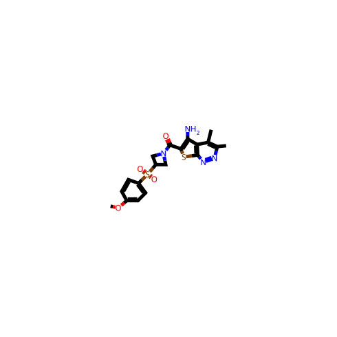 COc1ccc(S(=O)(=O)C2CN(C(=O)c3sc4nnc(C)c(C)c4c3N)C2)cc1